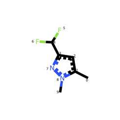 Cc1[c]c(C(F)F)nn1C